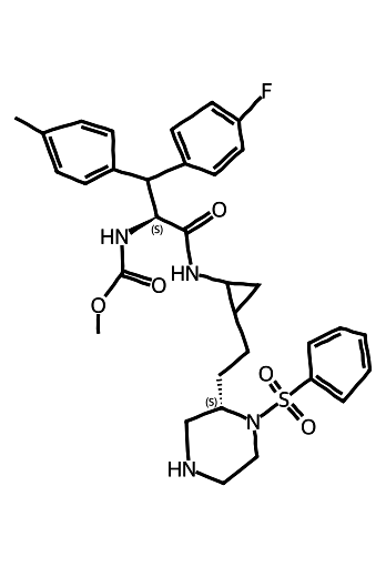 COC(=O)N[C@H](C(=O)NC1CC1CC[C@H]1CNCCN1S(=O)(=O)c1ccccc1)C(c1ccc(C)cc1)c1ccc(F)cc1